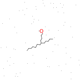 CCCCCCCC(CCCCC)CCCC[O]